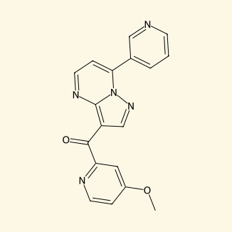 COc1ccnc(C(=O)c2cnn3c(-c4cccnc4)ccnc23)c1